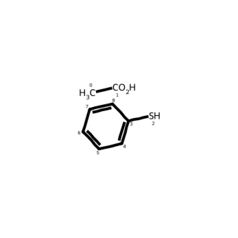 CC(=O)O.Sc1ccccc1